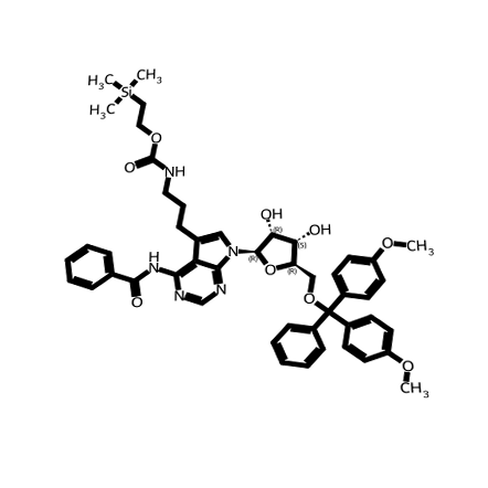 COc1ccc(C(OC[C@H]2O[C@@H](n3cc(CCCNC(=O)OCC[Si](C)(C)C)c4c(NC(=O)c5ccccc5)ncnc43)[C@H](O)[C@@H]2O)(c2ccccc2)c2ccc(OC)cc2)cc1